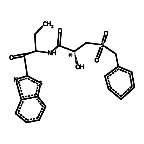 CCC(NC(=O)[C@@H](O)CS(=O)(=O)Cc1ccccc1)C(=O)c1nc2ccccc2s1